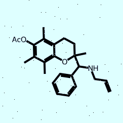 C=CCNC(c1ccccc1)C1(C)CCc2c(C)c(OC(C)=O)c(C)c(C)c2O1